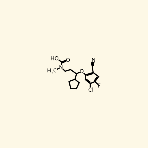 CN(CCC(Oc1cc(Cl)c(F)cc1C#N)C1CCCC1)C(=O)O